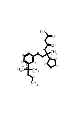 CC(=O)CC(=O)CC(C)(CCc1cccc(C(C)(C)CCN)c1)C1CCCC1